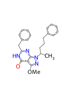 COc1nn(C(C)CCCc2ccccc2)c2nc(Cc3ccccc3)[nH]c(=O)c12